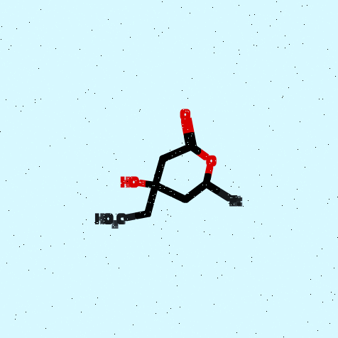 CCC1CC(O)(CC(=O)O)CC(=O)O1